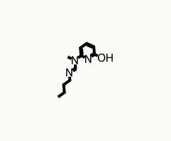 CCCCN=CN(C)c1cccc(O)n1